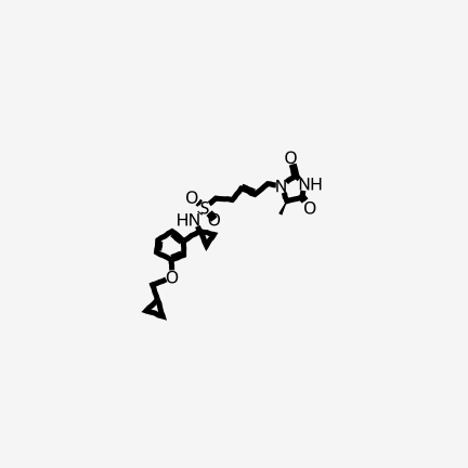 C[C@@H]1C(=O)NC(=O)N1C/C=C/CCS(=O)(=O)NC1(c2cccc(OCC3CC3)c2)CC1